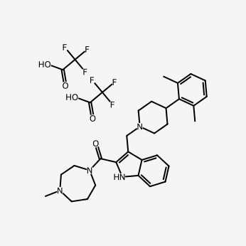 Cc1cccc(C)c1C1CCN(Cc2c(C(=O)N3CCCN(C)CC3)[nH]c3ccccc23)CC1.O=C(O)C(F)(F)F.O=C(O)C(F)(F)F